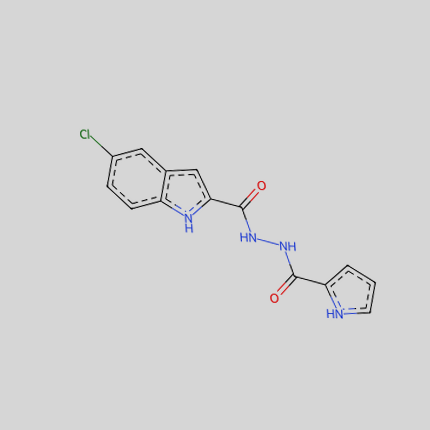 O=C(NNC(=O)c1cc2cc(Cl)ccc2[nH]1)c1ccc[nH]1